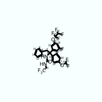 O=C(NCC(F)(F)F)NC(Cc1ccccc1)(c1ccc(OC(F)F)cc1)c1cc(F)cc(OC(F)(F)C(F)F)c1